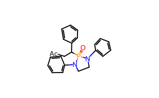 CC(=O)CC(c1ccccc1)P1(=O)N(c2ccccc2)CCN1c1ccccc1